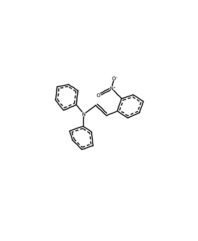 O=[N+]([O-])c1ccccc1C=CN(c1ccccc1)c1ccccc1